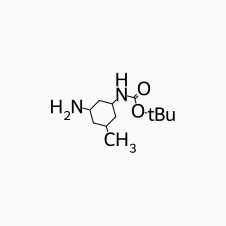 CC1CC(N)CC(NC(=O)OC(C)(C)C)C1